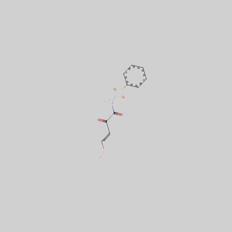 COC=CC(=O)C(=O)NS(=O)(=O)c1ccccc1